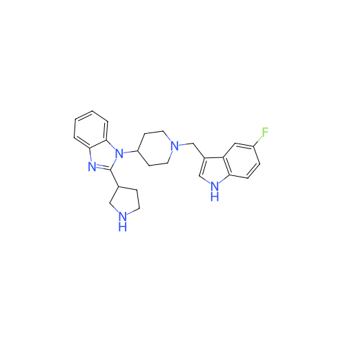 Fc1ccc2[nH]cc(CN3CCC(n4c(C5CCNC5)nc5ccccc54)CC3)c2c1